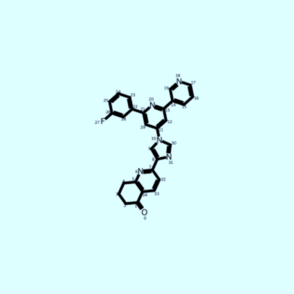 O=C1CCCc2nc(-c3cn(-c4cc(-c5cccnc5)nc(-c5cccc(F)c5)c4)cn3)ccc21